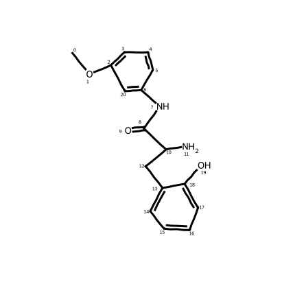 COc1cccc(NC(=O)C(N)Cc2ccccc2O)c1